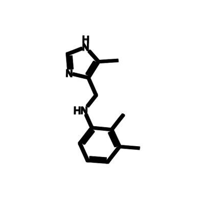 Cc1cccc(NCc2nc[nH]c2C)c1C